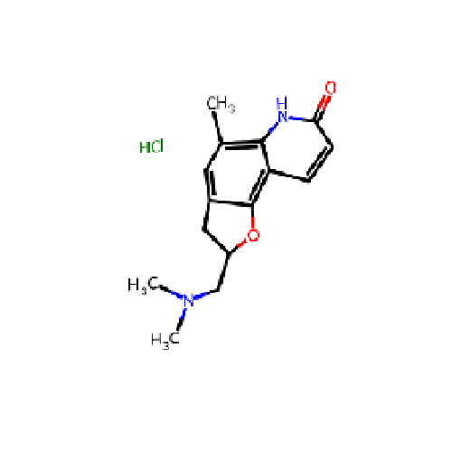 Cc1cc2c(c3ccc(=O)[nH]c13)OC(CN(C)C)C2.Cl